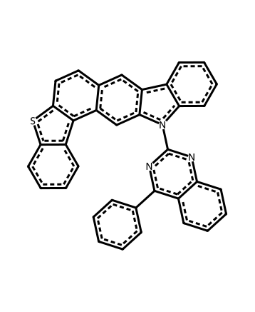 c1ccc(-c2nc(-n3c4ccccc4c4cc5ccc6sc7ccccc7c6c5cc43)nc3ccccc23)cc1